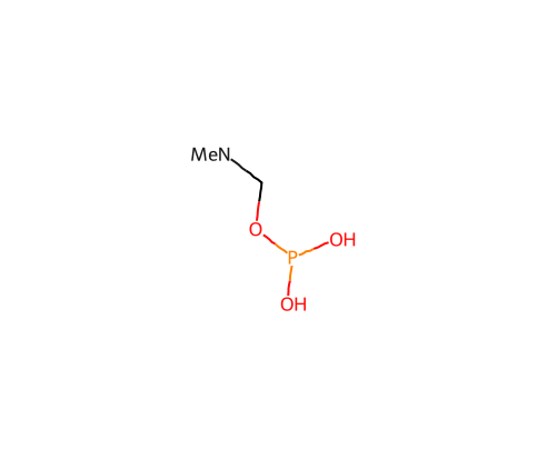 CNCOP(O)O